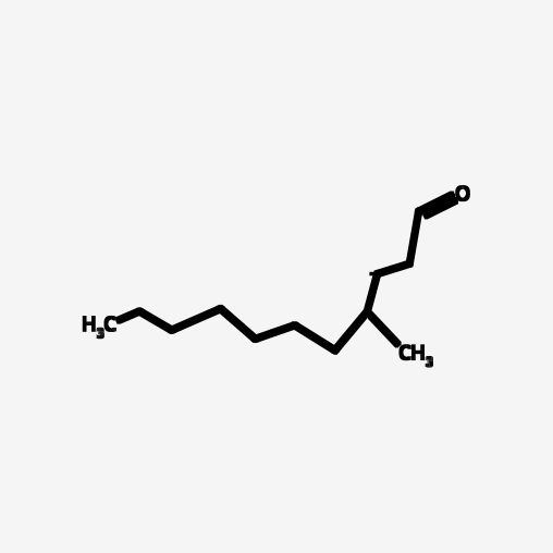 CCCCCCCC(C)[CH]CC=O